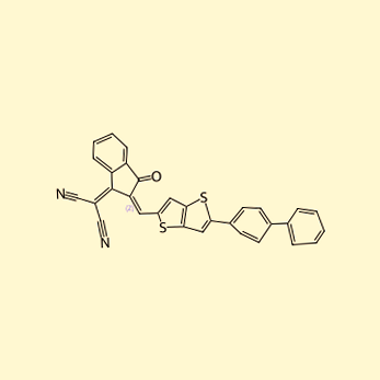 N#CC(C#N)=C1/C(=C/c2cc3sc(-c4ccc(-c5ccccc5)cc4)cc3s2)C(=O)c2ccccc21